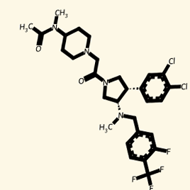 CC(=O)N(C)C1CCN(CC(=O)N2C[C@H](c3ccc(Cl)c(Cl)c3)[C@H](N(C)Cc3ccc(C(F)(F)F)c(F)c3)C2)CC1